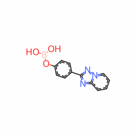 OB(O)Oc1ccc(-c2nc3ccccn3n2)cc1